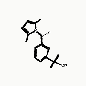 Cc1ccc(C)n1[C@H](C)c1cccc(C(C)(C)O)c1